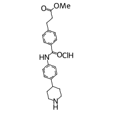 COC(=O)CCc1ccc(C(=O)Nc2ccc(C3CCNCC3)cc2)cc1.Cl